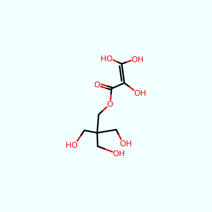 O=C(OCC(CO)(CO)CO)C(O)=C(O)O